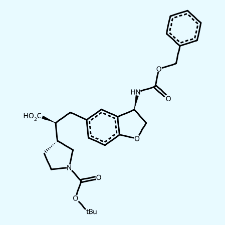 CC(C)(C)OC(=O)N1CC[C@H]([C@H](Cc2ccc3c(c2)[C@@H](NC(=O)OCc2ccccc2)CO3)C(=O)O)C1